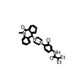 CCC(CC)C(=O)Nc1ccc(N2CCN(C3c4ccccc4C(=O)N(C)c4ccccc43)CC2)c(Cl)c1